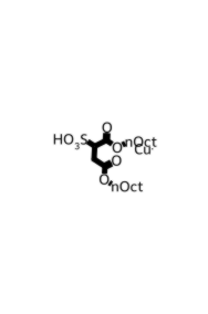 CCCCCCCCOC(=O)CC(C(=O)OCCCCCCCC)S(=O)(=O)O.[Cu]